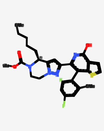 COCCCC[C@H]1c2cc(-c3nc(O)c4ccsc4c3-c3c(F)cc(F)cc3OC)nn2CCN1C(=O)OC(C)(C)C